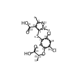 Cc1nn(C)c(Sc2cc(O[C@@H](C)C(=O)O)c(Cl)cc2Cl)c1C(=O)O